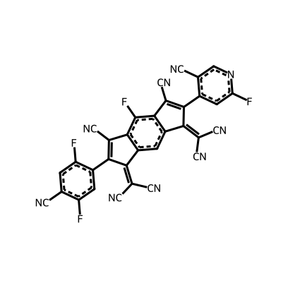 N#CC(C#N)=C1C(c2cc(F)c(C#N)cc2F)=C(C#N)c2c1cc1c(c2F)C(C#N)=C(c2cc(F)ncc2C#N)C1=C(C#N)C#N